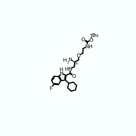 CC(C)(C)OC(=O)NCCOC[C@H](N)CNC(=O)c1[nH]c2ccc(F)cc2c1C1CCCCC1